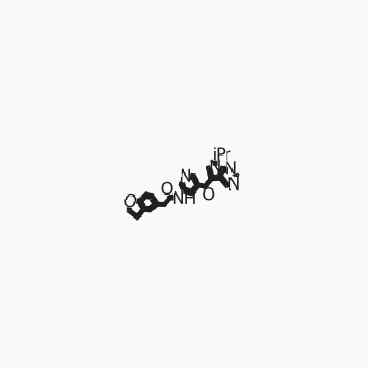 CC(C)n1cc(C(=O)c2cncc(NC(=O)Cc3ccc4c(c3)CCO4)c2)c2cncnc21